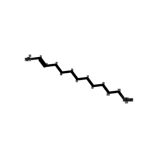 [CH2]CCC=CCCCCCCCCCCCCCCCCC[CH2]